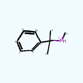 CPC(C)(C)c1ccccc1